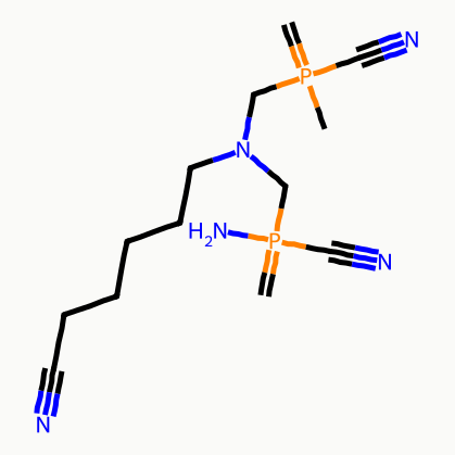 C=P(C)(C#N)CN(CCCCCC#N)CP(=C)(N)C#N